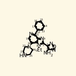 CCn1c(-c2nonc2N)nc2c(-c3ccccc3)ncc(N3CCNCC3)c21